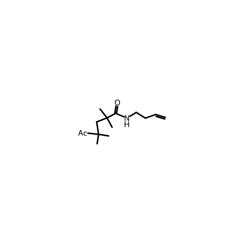 C=CCCNC(=O)C(C)(C)CC(C)(C)C(C)=O